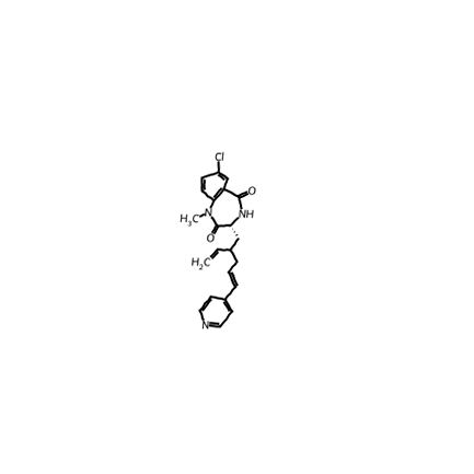 C=CC(C/C=C/c1ccncc1)C[C@H]1NC(=O)c2cc(Cl)ccc2N(C)C1=O